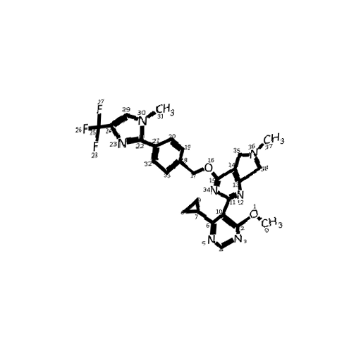 COc1ncnc(C2CC2)c1-c1nc2c(c(OCc3ccc(-c4nc(C(F)(F)F)cn4C)cc3)n1)CN(C)C2